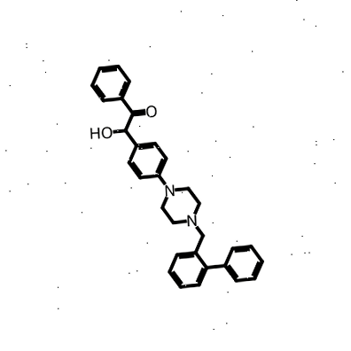 O=C(c1ccccc1)C(O)c1ccc(N2CCN(Cc3ccccc3-c3ccccc3)CC2)cc1